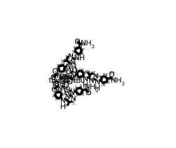 Cc1cnc(Nc2ccc(C(N)=O)cc2)nc1Nc1ccc2oc(=O)n(C(OP(=O)(OC(n3c(=O)oc4ccc(Nc5nc(Nc6ccc(C(N)=O)cc6)ncc5C)cc43)(C(C)(C)C)C(C)(C)C)OC(n3c(=O)oc4ccc(Nc5nc(Nc6ccc(C(N)=O)cc6)ncc5C)cc43)(C(C)(C)C)C(C)(C)C)(C(C)(C)C)C(C)(C)C)c2c1